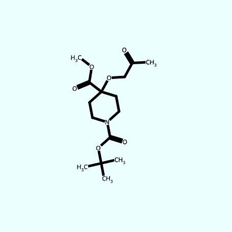 COC(=O)C1(OCC(C)=O)CCN(C(=O)OC(C)(C)C)CC1